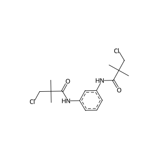 CC(C)(CCl)C(=O)Nc1cccc(NC(=O)C(C)(C)CCl)c1